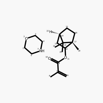 C1COCCN1.C=C(C)C(=O)OC1C[C@H]2CC[C@@]1(C)C2(C)C